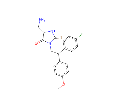 COc1ccc(C(CN2C(=O)C(CN)NC2=S)c2ccc(F)cc2)cc1